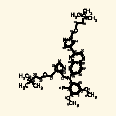 COc1cc(OC)c(F)c(N(Cc2nccn2COCC[Si](C)(C)C)c2ccc3ncc(-c4cnn(COCC[Si](C)(C)C)c4)nc3n2)c1